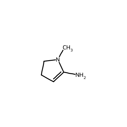 CN1CCC=C1N